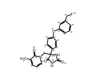 Cc1cccn(CC2(c3ccc(Oc4cccc(CF)c4)cc3)NC(=O)NC2=O)c1=O